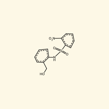 O=[N+]([O-])c1ccccc1S(=O)(=O)Nc1ccccc1CO